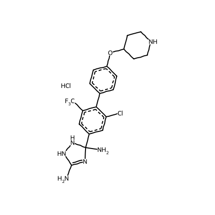 Cl.NC1=NC(N)(c2cc(Cl)c(-c3ccc(OC4CCNCC4)cc3)c(C(F)(F)F)c2)NN1